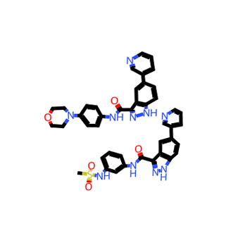 CS(=O)(=O)Nc1cccc(NC(=O)c2n[nH]c3ccc(-c4cccnc4)cc23)c1.O=C(Nc1ccc(N2CCOCC2)cc1)c1n[nH]c2ccc(-c3cccnc3)cc12